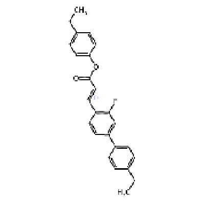 CCc1ccc(OC(=O)/C=C/c2ccc(-c3ccc(CC)cc3)cc2F)cc1